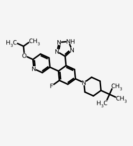 CC(C)Oc1ccc(-c2c(F)cc(N3CCC(C(C)(C)C)CC3)cc2-c2nn[nH]n2)cn1